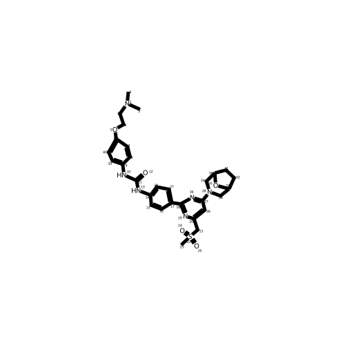 CN(C)CCOc1ccc(NC(=O)Nc2ccc(-c3nc(CS(C)(=O)=O)cc(N4CC5CCC(C4)O5)n3)cc2)cc1